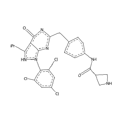 CC(C)c1[nH]n(-c2c(Cl)cc(Cl)cc2Cl)c2nc(Cc3ccc(NC(=O)C4CNC4)cc3)nc(=O)c1-2